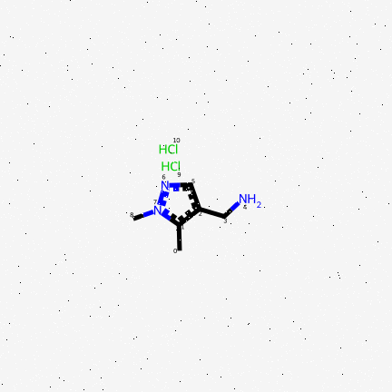 Cc1c(CN)cnn1C.Cl.Cl